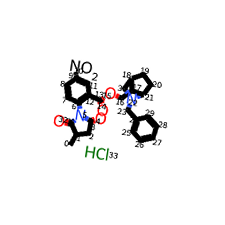 CC1CC(=O)N(c2ccc([N+](=O)[O-])cc2C(=O)OCC2C3CCC2N(Cc2ccccc2)C3)C1=O.Cl